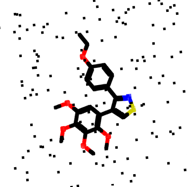 CCOc1ccc(-c2nscc2-c2cc(OC)c(OC)c(OC)c2OC)cc1